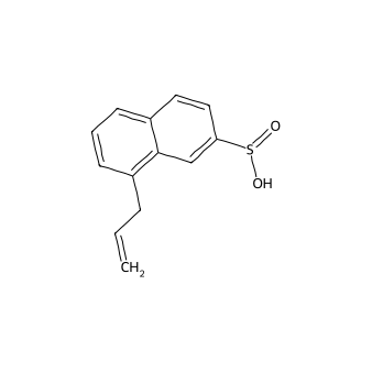 C=CCc1cccc2ccc(S(=O)O)cc12